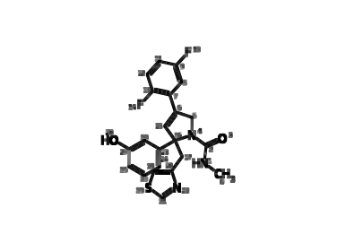 CNC(=O)N1CC(c2cc(F)ccc2F)=CC1(Cc1cscn1)c1cccc(O)c1